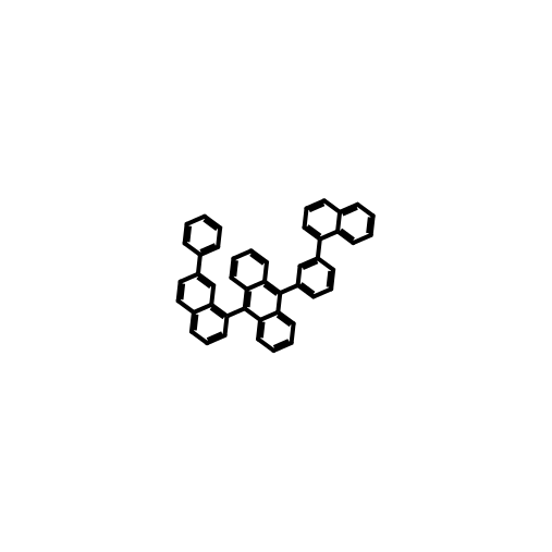 c1ccc(-c2ccc3cccc(-c4c5ccccc5c(-c5cccc(-c6cccc7ccccc67)c5)c5ccccc45)c3c2)cc1